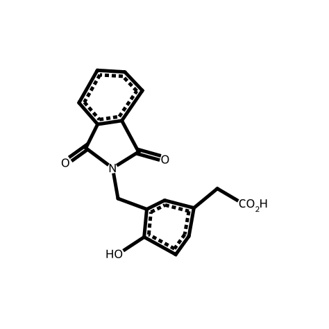 O=C(O)Cc1ccc(O)c(CN2C(=O)c3ccccc3C2=O)c1